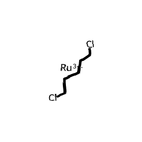 ClCCCCCCl.[Ru+3]